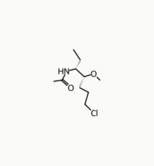 CC[C@@H](NC(C)=O)[C@@H](CCCCl)OC